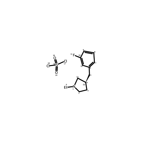 CCN1CC[C@H](Cc2cccc(F)c2)C1.O=S(=O)(Cl)Cl